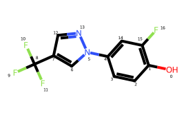 Oc1ccc(-n2cc(C(F)(F)F)cn2)cc1F